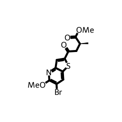 COC(=O)[C@@H](C)CC(=O)c1cc2nc(OC)c(Br)cc2s1